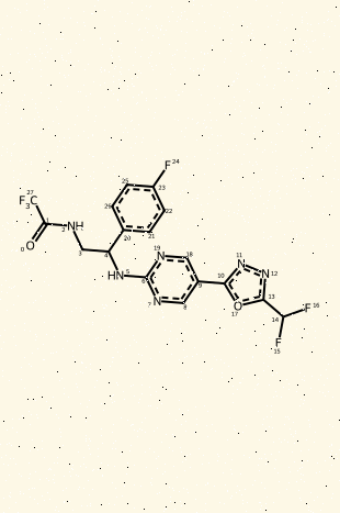 O=C(NCC(Nc1ncc(-c2nnc(C(F)F)o2)cn1)c1ccc(F)cc1)C(F)(F)F